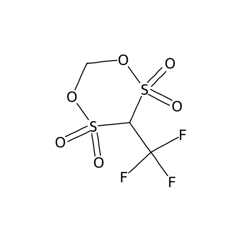 O=S1(=O)OCOS(=O)(=O)C1C(F)(F)F